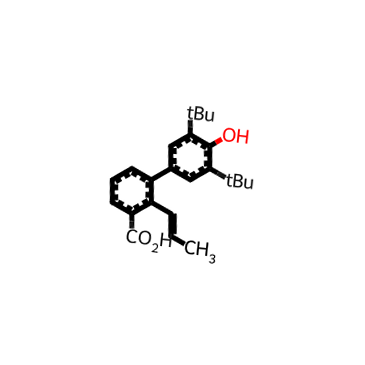 CC=Cc1c(C(=O)O)cccc1-c1cc(C(C)(C)C)c(O)c(C(C)(C)C)c1